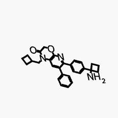 NC1(c2ccc(-c3nc4c(cc3-c3ccccc3)N(CC3CCC3)C(=O)CO4)cc2)CCC1